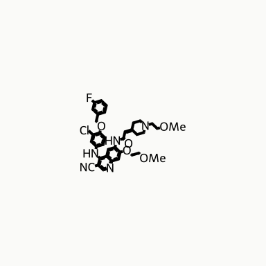 COCCOc1cc2ncc(C#N)c(Nc3ccc(OCc4cccc(F)c4)c(Cl)c3)c2cc1NC(=O)C=C1CCN(CCOC)CC1